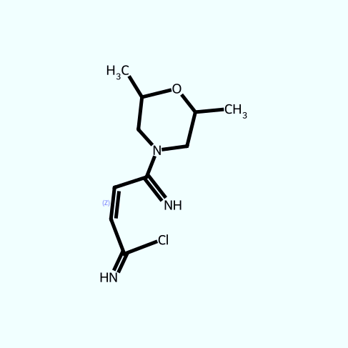 CC1CN(C(=N)/C=C\C(=N)Cl)CC(C)O1